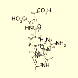 CC1NCC2CN(c3ccc(C(=O)NC(CCC(=O)O)C(=O)O)cc3)C1(C(=O)N=C(N)N)N2C